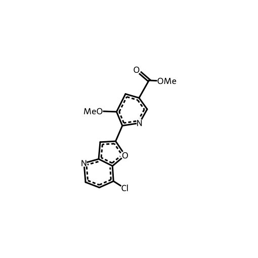 COC(=O)c1cnc(-c2cc3nccc(Cl)c3o2)c(OC)c1